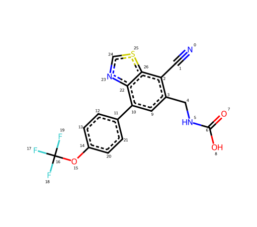 N#Cc1c(CNC(=O)O)cc(-c2ccc(OC(F)(F)F)cc2)c2ncsc12